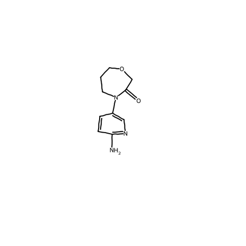 Nc1ccc(N2CCCOCC2=O)cn1